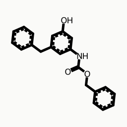 O=C(Nc1cc(O)cc(Cc2ccccc2)c1)OCc1ccccc1